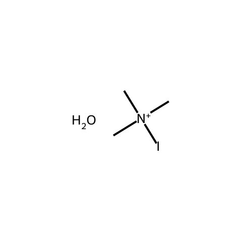 C[N+](C)(C)I.O